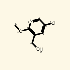 COc1ncc(Cl)cc1CO